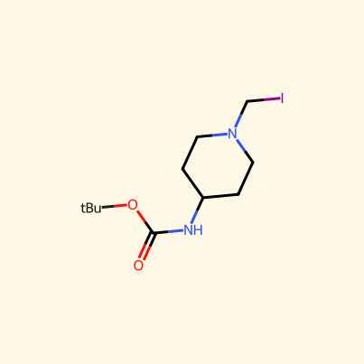 CC(C)(C)OC(=O)NC1CCN(CI)CC1